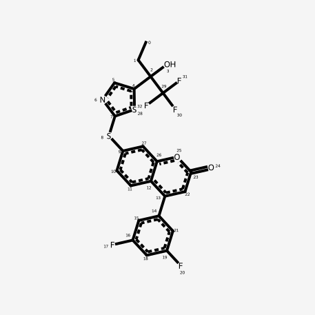 CCC(O)(c1cnc(Sc2ccc3c(-c4cc(F)cc(F)c4)cc(=O)oc3c2)s1)C(F)(F)F